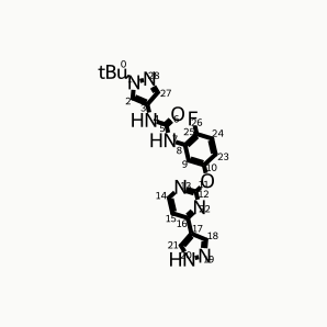 CC(C)(C)n1cc(NC(=O)Nc2cc(Oc3nccc(-c4cn[nH]c4)n3)ccc2F)cn1